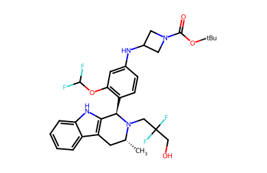 C[C@@H]1Cc2c([nH]c3ccccc23)[C@@H](c2ccc(NC3CN(C(=O)OC(C)(C)C)C3)cc2OC(F)F)N1CC(F)(F)CO